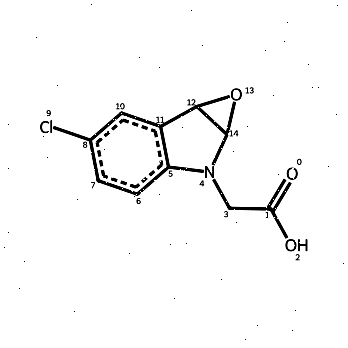 O=C(O)CN1c2ccc(Cl)cc2C2OC21